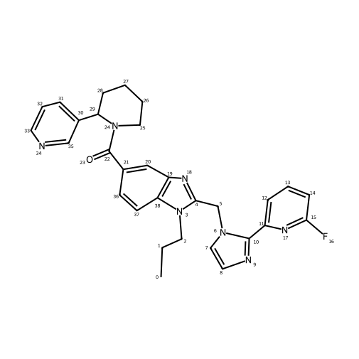 CCCn1c(Cn2ccnc2-c2cccc(F)n2)nc2cc(C(=O)N3CCCCC3c3cccnc3)ccc21